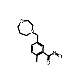 Cc1ccc(CN2CCCOCC2)cc1C(=O)N=O